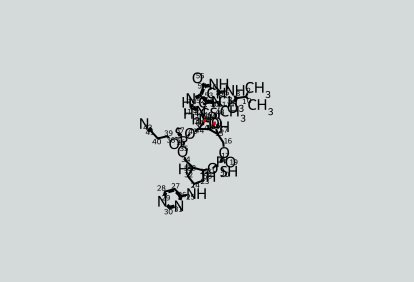 CC(C)C(=O)Nc1nc2c(ncn2[C@@H]2O[C@@H]3CO[P@@](=O)(S)O[C@H]4C[C@H](Nc5ccncn5)C[C@@H]4CO[P@](=S)(OCCC#N)O[C@@H]2[C@@H]3O[Si](C)(C)C(C)(C)C)c(=O)[nH]1